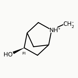 [CH2-][NH+]1CC2CC1C[C@H]2O